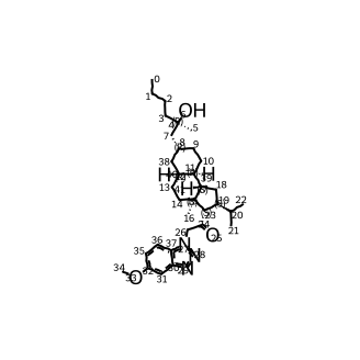 CCCC[C@@](C)(O)C[C@@H]1CC[C@@H]2[C@H](CC[C@@]3(C)[C@H]2C[C@@H](C(C)C)[C@@H]3C(=O)Cn2nnc3cc(OC)ccc32)C1